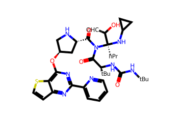 CCC[C@@](NC1CC1)(C(O)C=O)N(C(=O)[C@@H]1C[C@@H](Oc2nc(-c3ccccn3)nc3ccsc23)CN1)C(=O)[C@@H](NC(=O)NC(C)(C)C)C(C)(C)C